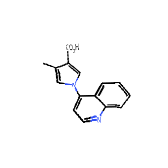 Cc1cn(-c2ccnc3ccccc23)cc1C(=O)O